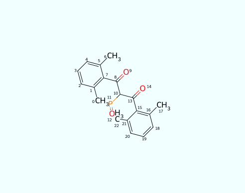 Cc1cccc(C)c1C(=O)C(P=O)C(=O)c1c(C)cccc1C